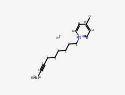 CCCCC#CCCCCCC[n+]1ccc(C)cc1.[I-]